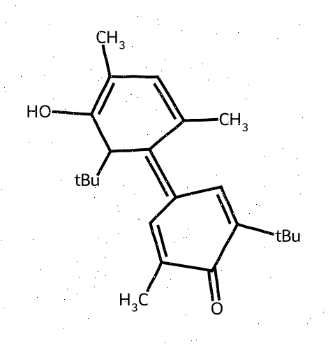 CC1=CC(=C2C(C)=CC(C)=C(O)C2C(C)(C)C)C=C(C(C)(C)C)C1=O